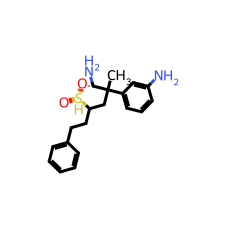 CC([CH]N)(CC(CCc1ccccc1)[SH](=O)=O)c1cccc(N)c1